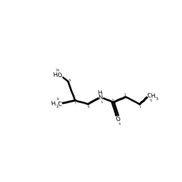 CCCC(=O)NCC(C)CO